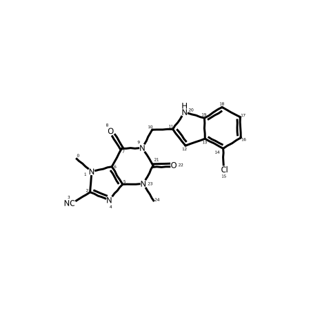 Cn1c(C#N)nc2c1c(=O)n(Cc1cc3c(Cl)cccc3[nH]1)c(=O)n2C